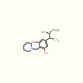 CCCCCC(C)C(C)c1cc(O)c(CN2CCCCC2)c(O)c1